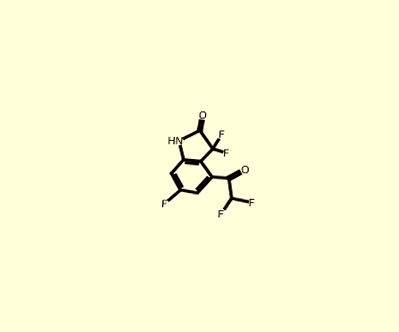 O=C(c1cc(F)cc2c1C(F)(F)C(=O)N2)C(F)F